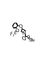 CC(C)(C)OC(=O)N1CC(Oc2ccccc2OC(F)(F)F)C1